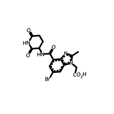 Cc1nc2c(C(=O)NC3CCC(=O)NC3=O)cc(Br)cc2n1CC(=O)O